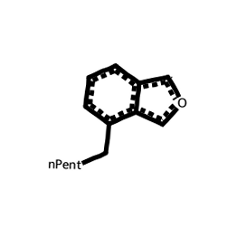 CCCCCCc1cccc2[c]occ12